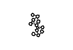 c1ccc(-c2cccc(-c3ccccc3)c2-c2ccc3c4ccccc4n(-c4ccc5c(c4)c4ccc(-c6c(-c7ccccc7)cccc6-c6ccccc6)cc4n5-c4ccccc4)c3c2)cc1